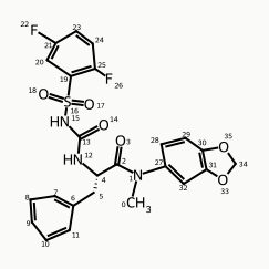 CN(C(=O)[C@H](Cc1ccccc1)NC(=O)NS(=O)(=O)c1cc(F)ccc1F)c1ccc2c(c1)OCO2